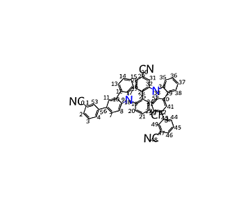 N#Cc1cccc(-c2ccc3c(c2)c2ccccc2n3-c2ccc(C(F)(F)F)cc2-c2ccc(C#N)cc2-n2c3ccccc3c3cc(-c4cccc(C#N)c4)ccc32)c1